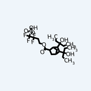 CCC(O)(CC)C1C2CC(C(=O)OCCC(F)(F)C(F)(F)S(=O)(=O)O)C(C2)C1C(O)(CC)CC